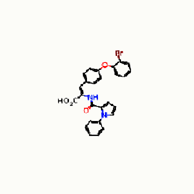 O=C(O)/C(=C/c1ccc(Oc2ccccc2Br)cc1)NC(=O)c1cccn1-c1ccccc1